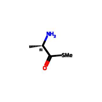 CSC(=O)[C@H](C)N